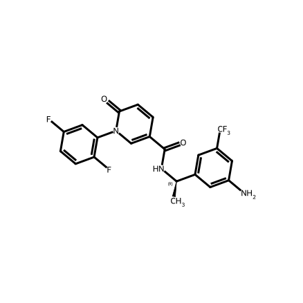 C[C@@H](NC(=O)c1ccc(=O)n(-c2cc(F)ccc2F)c1)c1cc(N)cc(C(F)(F)F)c1